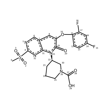 CS(=O)(=O)c1ncc2cc(Oc3ccc(F)cc3F)c(=O)n([C@@H]3CCCN(C(=O)O)C3)c2n1